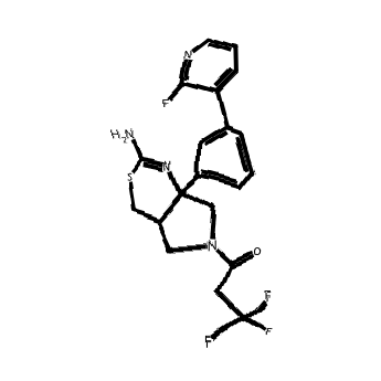 NC1=NC2(c3cccc(-c4cccnc4F)c3)CN(C(=O)CC(F)(F)F)CC2CS1